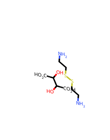 NCCSSCCN.O=C(O)C(O)C(O)C(=O)O